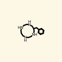 c1ccc(CC2CNCCNCCCNCCNC2)cc1